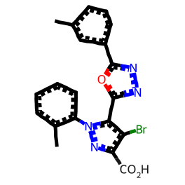 Cc1cccc(-c2nnc(-c3c(Br)c(C(=O)O)nn3-c3ccccc3C)o2)c1